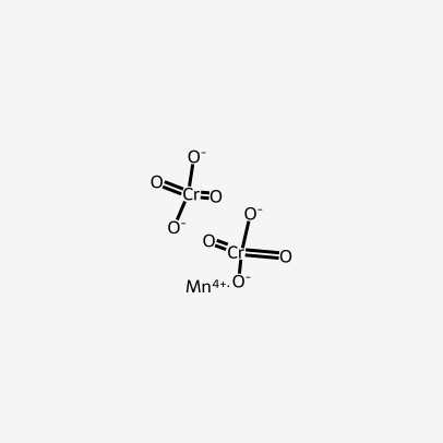 [Mn+4].[O]=[Cr](=[O])([O-])[O-].[O]=[Cr](=[O])([O-])[O-]